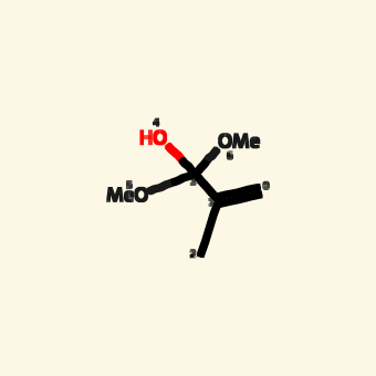 C=C(C)C(O)(OC)OC